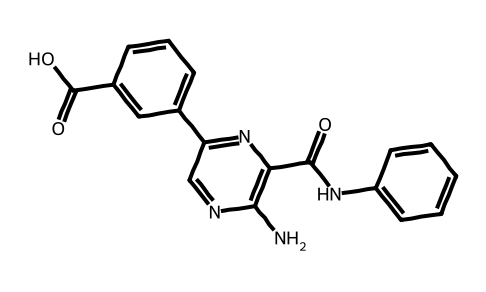 Nc1ncc(-c2cccc(C(=O)O)c2)nc1C(=O)Nc1ccccc1